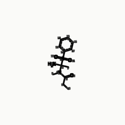 CCC(=O)N(C)C(C)(N)S(=O)(=O)c1ccccc1